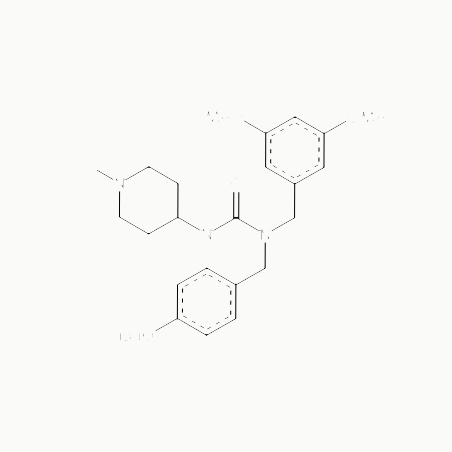 COc1cc(CN(Cc2ccc(OCC(C)C)cc2)C(=O)NC2CCN(C)CC2)cc(OC)c1